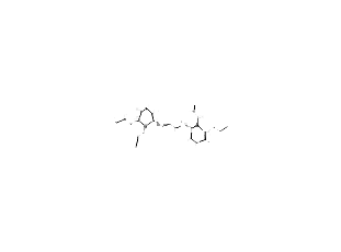 C=CCc1cccc(N=CC=Nc2cccc(CC=C)c2CC=C)c1CC=C